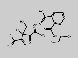 C=C(C)C(=O)C(O)(CO)C(=O)C(=C)C.O=C(O)c1ccccc1C(=O)O.OCCO